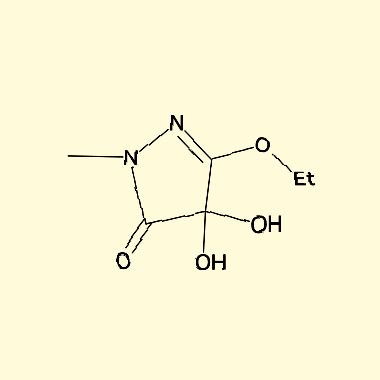 CCOC1=NN(C)C(=O)C1(O)O